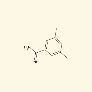 Cc1[c]c(C)cc(C(=N)N)c1